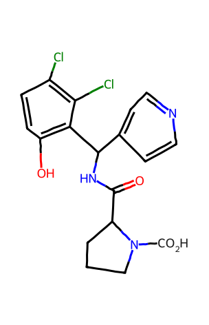 O=C(NC(c1ccncc1)c1c(O)ccc(Cl)c1Cl)C1CCCN1C(=O)O